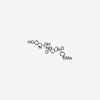 COc1ccc(C(=O)N2CCc3cc(C(=O)NC[C@@H](O)C4Cc5ccc(O)cc5C=N4)ccc3C2)cc1